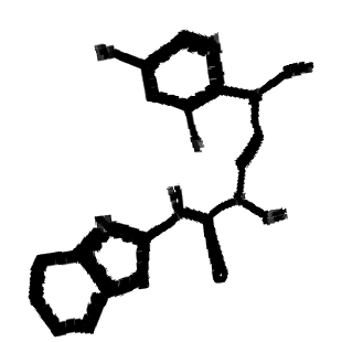 CCC(C)c1cnc(N(CCN(CC)C(=O)Nc2nc3ccccc3s2)SC)c(F)c1